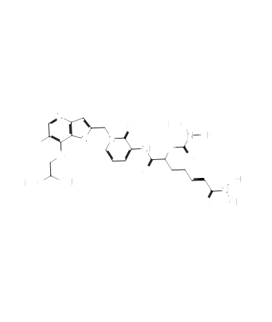 CC(C)COc1c(F)cnc2cc(Cn3cccc(NC(=O)C(CCC=CC(=O)N(C)C)OC(=O)N(C)C)c3=O)[nH]c12